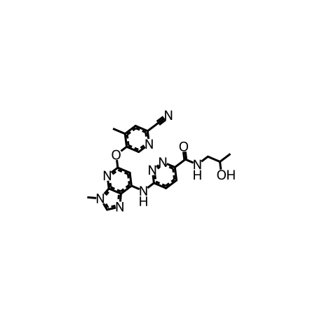 Cc1cc(C#N)ncc1Oc1cc(Nc2ccc(C(=O)NCC(C)O)nn2)c2ncn(C)c2n1